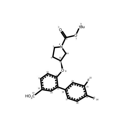 CC(C)(C)OC(=O)N1CC[C@H](Oc2ccc(C(=O)O)cc2-c2ccc(F)c(F)c2)C1